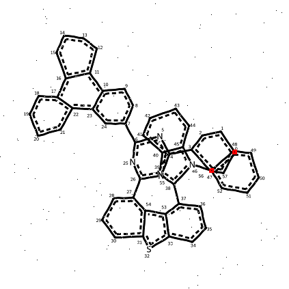 c1ccc(-c2nc(-c3ccc4c5ccccc5c5ccccc5c4c3)nc(-c3cccc4sc5cccc(-c6nc7ccccc7n6-c6ccccc6)c5c34)n2)cc1